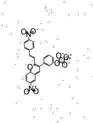 O=[N+]([O-])c1ccc(C=Cc2[o+]c3ccc([N+](=O)[O-])cc3cc2-c2ccccc2)cc1.[O-][Cl+3]([O-])([O-])[O-]